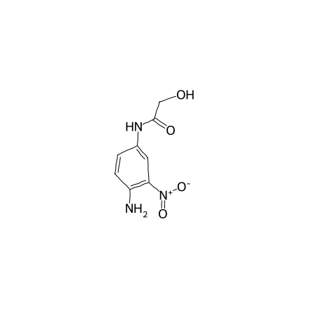 Nc1ccc(NC(=O)CO)cc1[N+](=O)[O-]